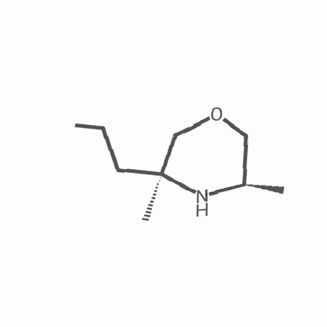 CCC[C@@]1(C)COC[C@@H](C)N1